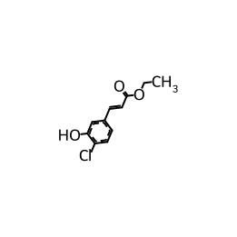 CCOC(=O)/C=C/c1ccc(Cl)c(O)c1